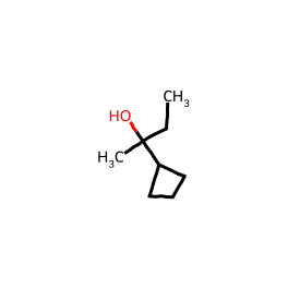 CCC(C)(O)C1CCC1